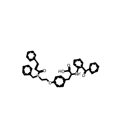 O=C(c1ccccc1)c1ccccc1NC(Cc1ccc(OCCN(Cc2ccccc2)C(=O)C=Cc2ccccc2)cc1)C(=O)O